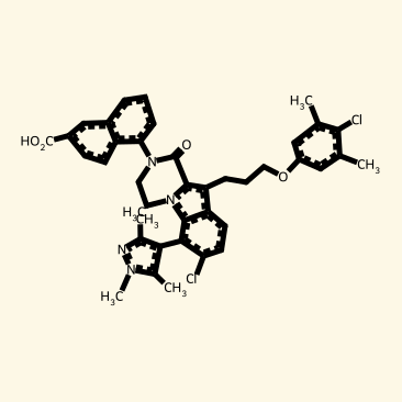 Cc1cc(OCCCc2c3n(c4c(-c5c(C)nn(C)c5C)c(Cl)ccc24)[C@H](C)CN(c2cccc4cc(C(=O)O)ccc24)C3=O)cc(C)c1Cl